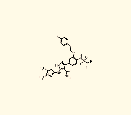 Cn1nc(Nc2[nH]nc(-c3ccc(NS(=O)(=O)C(F)F)c(OCCc4ccc(F)cc4)c3)c2C(N)=O)cc1C(F)(F)F